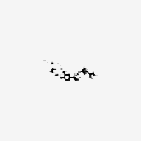 CC(C)OC1CN(C(=O)NCc2ccc(-c3ccnc(Nc4cnn([C@H]5CCOC5)c4)n3)cc2C(F)(F)F)C1